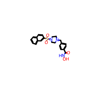 O=C(NO)c1ccc(CN2CCN(S(=O)(=O)c3ccc4ccccc4c3)CC2)cc1